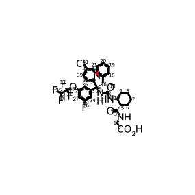 O=C(O)CNC(=O)[C@H]1CCCC[C@H]1NC(=O)N[C@@](Cc1ccccc1)(c1cc(F)cc(OC(F)(F)C(F)F)c1)c1ccc(Cl)cn1